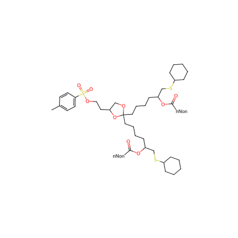 CCCCCCCCCC(=O)OC(CCCCC1(CCCCC(CSC2CCCCC2)OC(=O)CCCCCCCCC)OCC(CCOS(=O)(=O)c2ccc(C)cc2)O1)CSC1CCCCC1